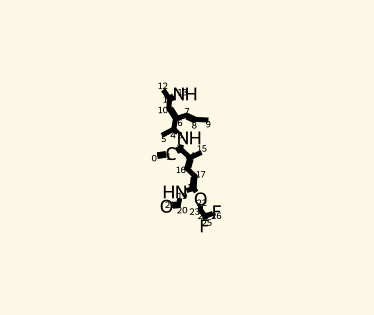 C=C=C(NC(C)C(/C=C/C)=C/C(C)=N)/C(C)=C/C=C(\NC=O)OCC(F)F